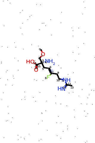 COC[C@@](N)(C/C=C(\F)CCNC(C)=N)C(=O)O